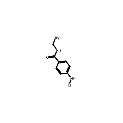 CCNc1ccc(C(=O)NCC(C)C)cc1